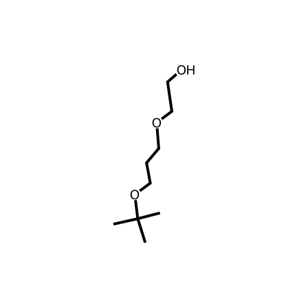 CC(C)(C)OCCCOCCO